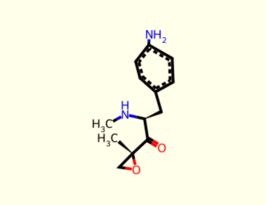 CN[C@@H](Cc1ccc(N)cc1)C(=O)[C@@]1(C)CO1